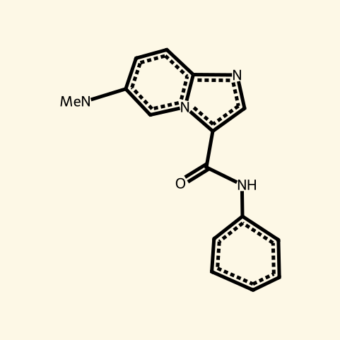 CNc1ccc2ncc(C(=O)Nc3ccccc3)n2c1